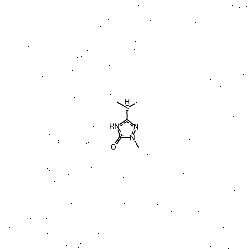 Cn1nc([SH](C)C)[nH]c1=O